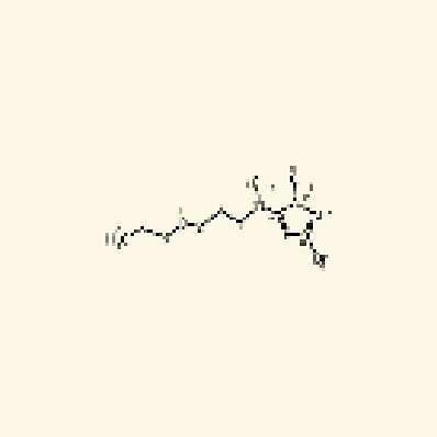 CCCOCCCN(C)c1cc(Br)nn1C